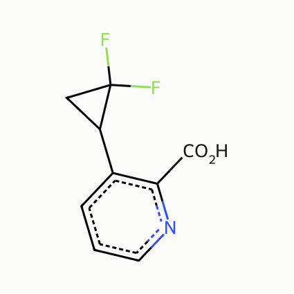 O=C(O)c1ncccc1C1CC1(F)F